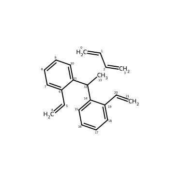 C=CC=C.C=Cc1ccccc1C(C)c1ccccc1C=C